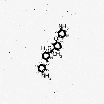 CC(C)(c1cccc(Oc2cccc(N)c2)c1)c1cccc(Oc2cccc(N)c2)c1